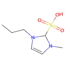 CCCN1C=CN(C)C1S(=O)(=O)O